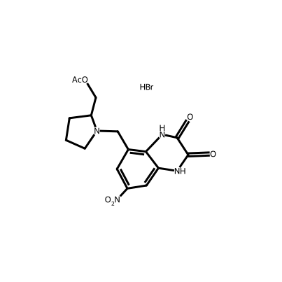 Br.CC(=O)OCC1CCCN1Cc1cc([N+](=O)[O-])cc2[nH]c(=O)c(=O)[nH]c12